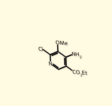 CCOC(=O)c1cnc(Cl)c(OC)c1N